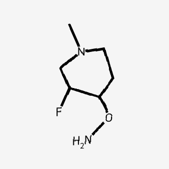 CN1CCC(ON)C(F)C1